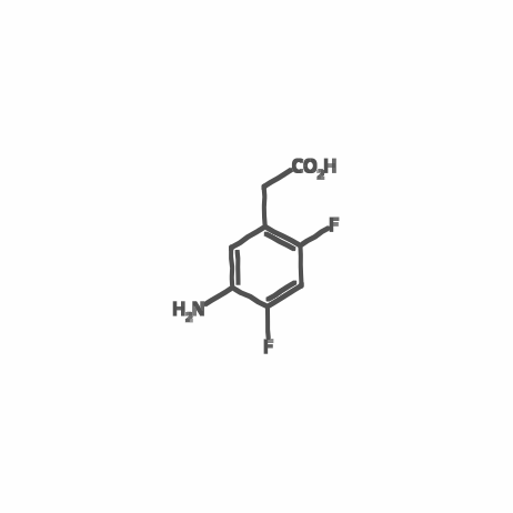 Nc1cc(CC(=O)O)c(F)cc1F